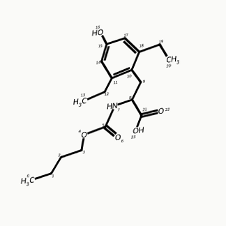 CCCCOC(=O)NC(Cc1c(CC)cc(O)cc1CC)C(=O)O